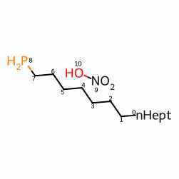 CCCCCCCCCCCCCCP.O=[N+]([O-])O